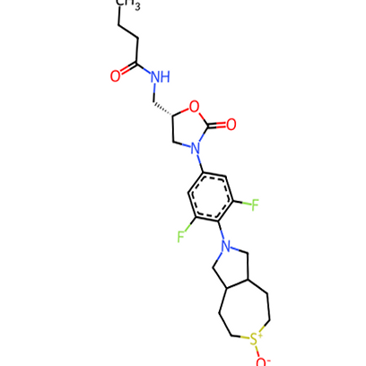 CCCC(=O)NC[C@H]1CN(c2cc(F)c(N3CC4CC[S+]([O-])CCC4C3)c(F)c2)C(=O)O1